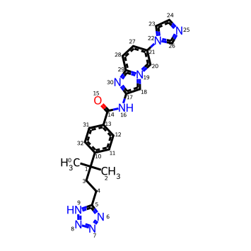 CC(C)(CCc1nnn[nH]1)c1ccc(C(=O)Nc2cn3cc(-n4ccnc4)ccc3n2)cc1